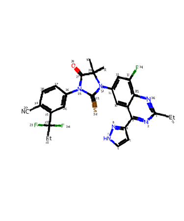 CCc1nc(-c2cc[nH]n2)c2cc(N3C(=S)N(c4ccc(C#N)c(C(F)(F)CC)c4)C(=O)C3(C)C)cc(F)c2n1